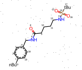 CCCCc1ccc(CNC(=O)CCCCNS(=O)(=O)C(C)(C)C)cc1